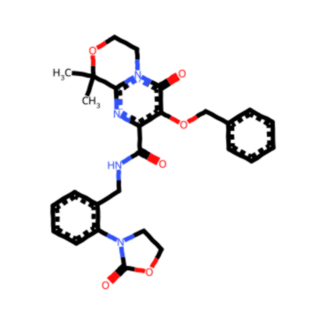 CC1(C)OCCn2c1nc(C(=O)NCc1ccccc1N1CCOC1=O)c(OCc1ccccc1)c2=O